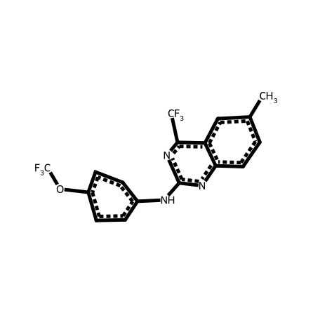 Cc1ccc2nc(Nc3ccc(OC(F)(F)F)cc3)nc(C(F)(F)F)c2c1